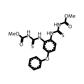 COC(=O)NC(=S)Nc1ccc(Oc2ccccc2)cc1NC(=S)NC(=O)OC